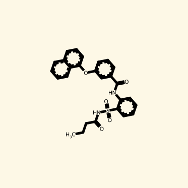 CCCC(=O)NS(=O)(=O)c1ccccc1NC(=O)c1cccc(Oc2cccc3ccccc23)c1